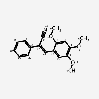 COc1cc(OC)c(OC)cc1/C=C(\C#N)c1ccccc1